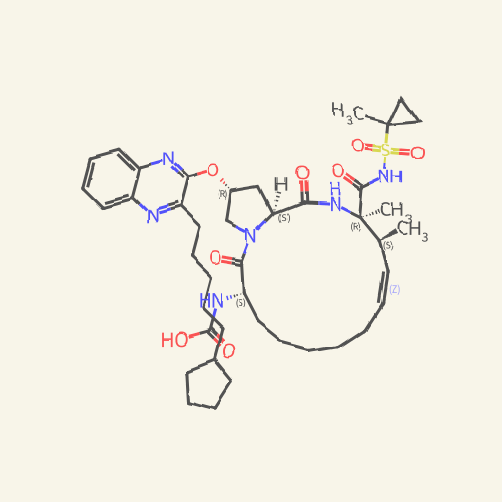 C[C@H]1/C=C\CCCCC[C@H](NC(=O)O)C(=O)N2C[C@H](Oc3nc4ccccc4nc3CCCCCC3CCCC3)C[C@H]2C(=O)N[C@@]1(C)C(=O)NS(=O)(=O)C1(C)CC1